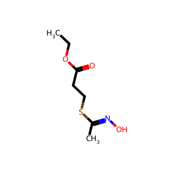 CCOC(=O)CCSC(C)=NO